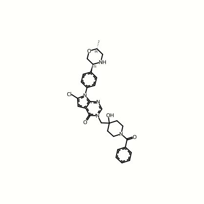 C[C@@H]1CN[C@@H](c2ccc(-n3c(Cl)cc4c(=O)n(CC5(O)CCN(C(=O)c6ccccc6)CC5)cnc43)cc2)CO1